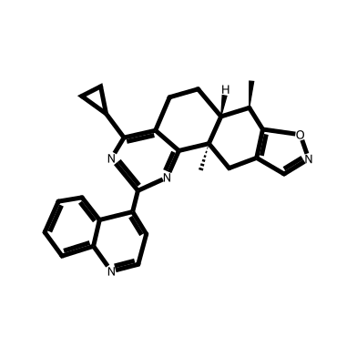 C[C@H]1c2oncc2C[C@@]2(C)c3nc(-c4ccnc5ccccc45)nc(C4CC4)c3CC[C@H]12